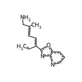 C=C/C(=C\C=C(/C)CN)c1nc2ncccc2o1